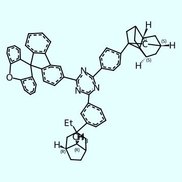 CCC1(c2cccc(-c3nc(-c4ccc(C56CC7C[C@@H]8C[C@@H](C[C@@H]7C85)C6)cc4)nc(-c4ccc5c(c4)-c4ccccc4C54c5ccccc5Oc5ccccc54)n3)c2)CC2CC[C@H](C1)[C@@H]2C